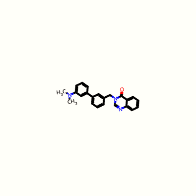 CN(C)c1cccc(-c2cccc(Cn3cnc4ccccc4c3=O)c2)c1